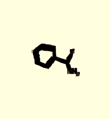 NC(F)c1cc[c]cc1